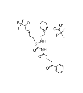 O=C(CCCC(=O)c1ccccc1)NC(=O)[C@H](CCCSCC(=O)C(F)(F)F)NCC[N+]1=CCCCC1.O=C([O-])C(F)(F)F